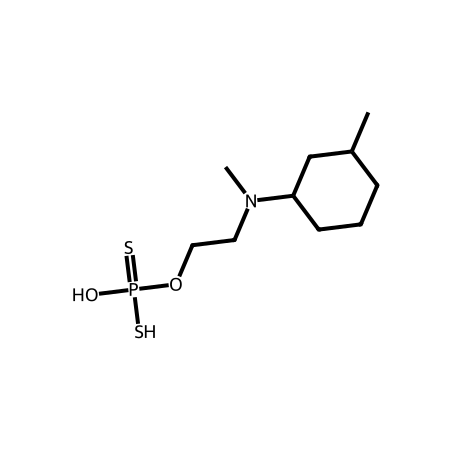 CC1CCCC(N(C)CCOP(O)(=S)S)C1